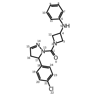 O=C(N1CC(Nc2ccccc2)C1)N1N=CCC1c1ccc(Cl)cc1